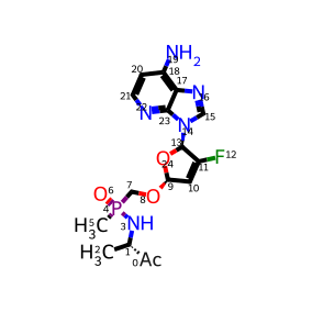 CC(=O)[C@H](C)NP(C)(=O)CO[C@@H]1C=C(F)[C@H](n2cnc3c(N)ccnc32)O1